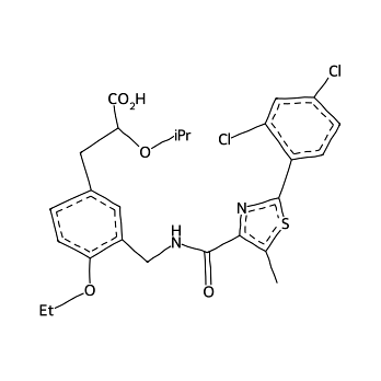 CCOc1ccc(CC(OC(C)C)C(=O)O)cc1CNC(=O)c1nc(-c2ccc(Cl)cc2Cl)sc1C